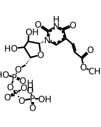 COC(=O)/C=C/c1cn([C@@H]2O[C@H](COP(=O)(O)OP(=O)(O)OP(=O)(O)O)C(O)C2O)c(=O)[nH]c1=O